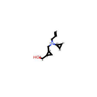 C=CCN(CC1CC1CO)C1CC1